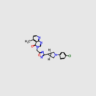 Cc1ccnc2ncn(Cc3nc(C4[C@H]5CN(c6ccc(Cl)cc6)C[C@@H]45)no3)c(=O)c12